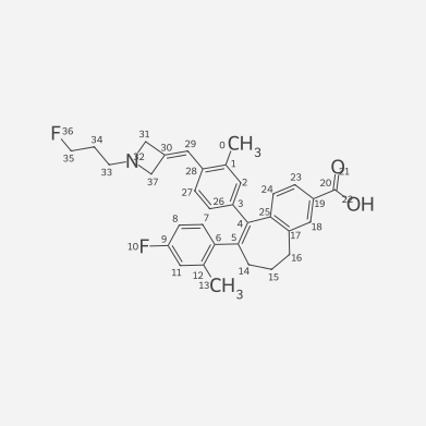 Cc1cc(C2=C(c3ccc(F)cc3C)CCCc3cc(C(=O)O)ccc32)ccc1C=C1CN(CCCF)C1